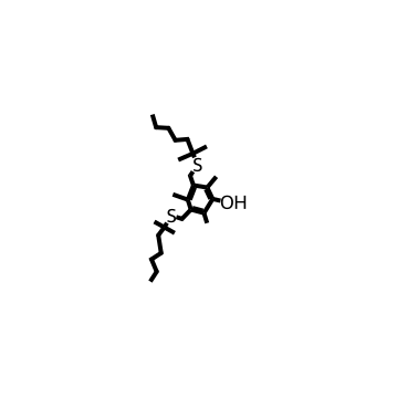 CCCCCC(C)(C)SCc1c(C)c(O)c(C)c(CSC(C)(C)CCCCC)c1C